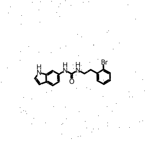 O=C(NCCc1ccccc1Br)Nc1ccc2cc[nH]c2c1